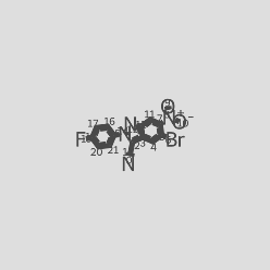 N#Cc1c2cc(Br)c([N+](=O)[O-])cc2nn1-c1ccc(F)cc1